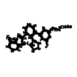 CO/N=C/c1cc(F)cc(-c2cncc(-c3nc4c(F)cccc4[nH]3)c2N2CCCC2)c1